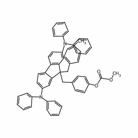 COC(=O)Oc1ccc(CC2(Cc3ccc(C)cc3)c3cc(N(c4ccccc4)c4ccccc4)ccc3-c3ccc(N(c4ccccc4)c4ccccc4)cc32)cc1